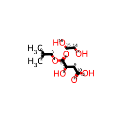 CC(C)COC(=O)C(O)CC(=O)O.OCCO